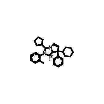 Cc1ccccc1N1C(C2CCCC2)N2C=CC(c3ccccc3)(C3CCCCC3)C2[C@@H]1C